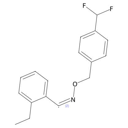 CCc1ccccc1/[C]=N\OCc1ccc(C(F)F)cc1